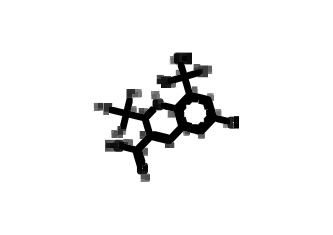 [2H]C([2H])(O)c1cc(Cl)cc2c1OC(C(F)(F)F)C(C(=O)O)=C2